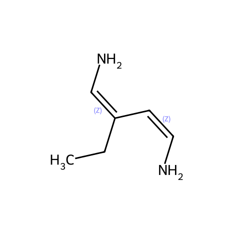 CCC(/C=C\N)=C/N